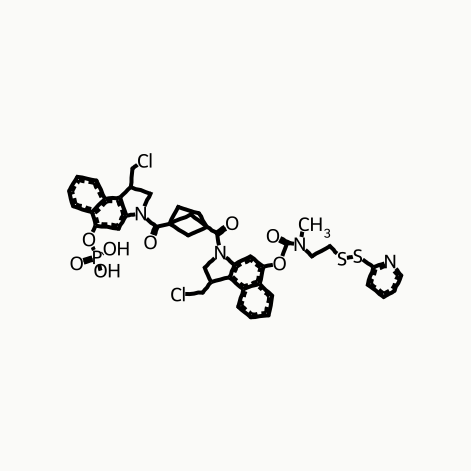 CN(CCSSc1ccccn1)C(=O)Oc1cc2c(c3ccccc13)C(CCl)CN2C(=O)C12CCC(C(=O)N3CC(CCl)c4c3cc(OP(=O)(O)O)c3ccccc43)(C1)C2